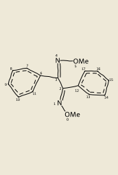 CON=C(C(=NOC)c1ccccc1)c1ccccc1